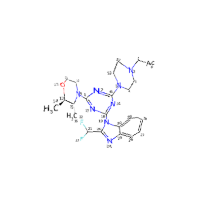 CC(=O)CN1CCN(c2nc(N3CCO[C@H](C)[C@H]3C)nc(-n3c(C(F)F)nc4ccccc43)n2)CC1